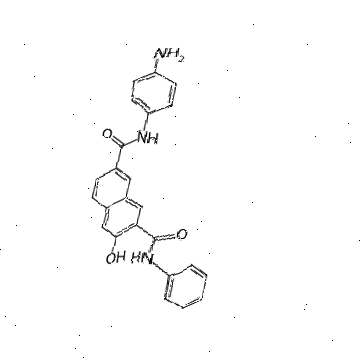 Nc1ccc(NC(=O)c2ccc3cc(O)c(C(=O)Nc4ccccc4)cc3c2)cc1